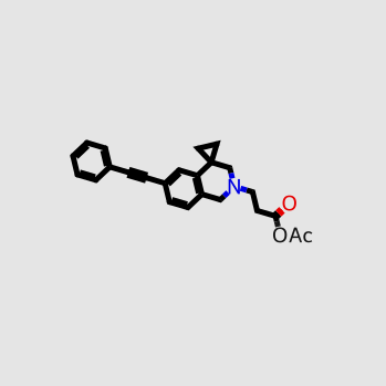 CC(=O)OC(=O)CCN1Cc2ccc(C#Cc3ccccc3)cc2C2(CC2)C1